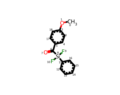 COc1ccc(C(=O)[Si](F)(F)c2ccccc2)cc1